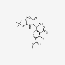 COC(=O)c1ccc(C(S)[C@H](NC(=O)OC(C)(C)C)C(=O)O)c([N+](=O)[O-])c1F